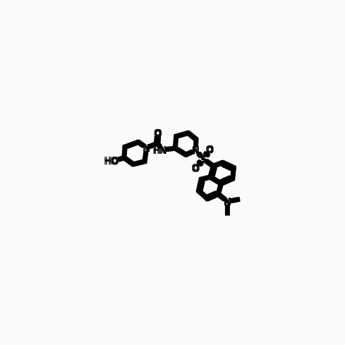 CN(C)c1cccc2c(S(=O)(=O)N3CCCC(NC(=O)N4CCC(O)CC4)C3)cccc12